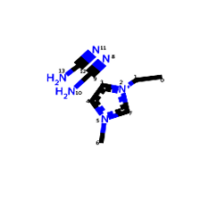 CC[n+]1ccn(C)c1.N#CN.N#CN